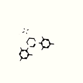 Cc1cc(C)c(N2C=[N+](c3c(C)cc(C)cc3C)CCC2)c(C)c1.F[B-](F)(F)F